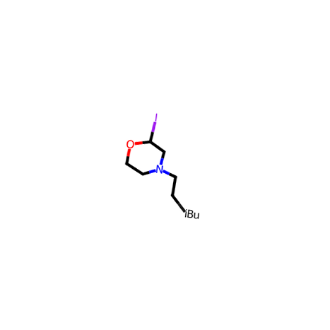 CCC(C)CCN1CCOC(I)C1